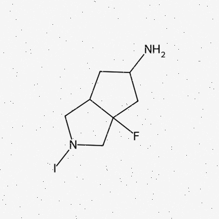 NC1CC2CN(I)CC2(F)C1